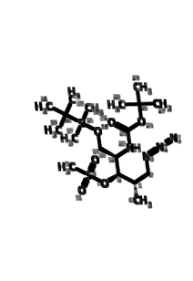 C[C@@H](CN=[N+]=[N-])[C@@H](OS(C)(=O)=O)[C@@H](CO[Si](C)(C)C(C)(C)C)NC(=O)OC(C)(C)C